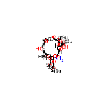 C=C1CC2CCC(=O)/C=C/C(O[Si](C)(C)C(C)(C)C)C3O[C@H]4CC[C@H](CC(=O)OC5[C@@H](N)C6OC(CCO[Si](C)(C)C(C)(C)C)C(O[Si](C)(C)C(C)(C)C)CC6O[C@H]5CC(O[Si](CC)(CC)CC)C(=C)C(C)CC(O)CCC1O2)OC4[C@H](O)C3O[Si](C)(C)C(C)(C)C